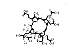 CC1=C(CCC(=O)O)C2=N[C@@]1(C)CC1=C(CCC(=O)O)[C@](C)(CC(=O)O)C(=N1)/C=C1\[N-][C@@](C)([C@@H]3N=C(C2C)[C@](C)(CCC(=O)O)[C@H]3CC(=O)O)[C@@](C)(CC(=O)O)[C@@H]1CCC(=O)O.[Co]